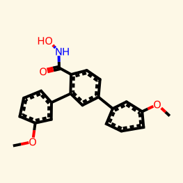 COc1cccc(-c2ccc(C(=O)NO)c(-c3cccc(OC)c3)c2)c1